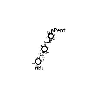 CCCCCc1ccc(CC[C@H]2CC[C@H](CC[C@H]3CC[C@H](CCCC)CC3)CC2)cc1